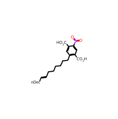 CCCCCCCCCC/C=C/CCCCCCc1cc(C(=O)O)c(I(=O)=O)cc1C(=O)O